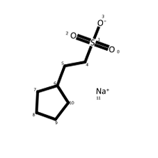 O=S(=O)([O-])CCC1CCCC1.[Na+]